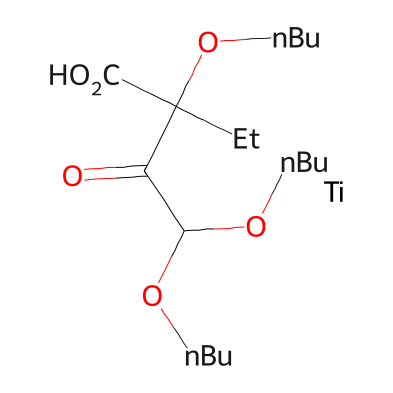 CCCCOC(OCCCC)C(=O)C(CC)(OCCCC)C(=O)O.[Ti]